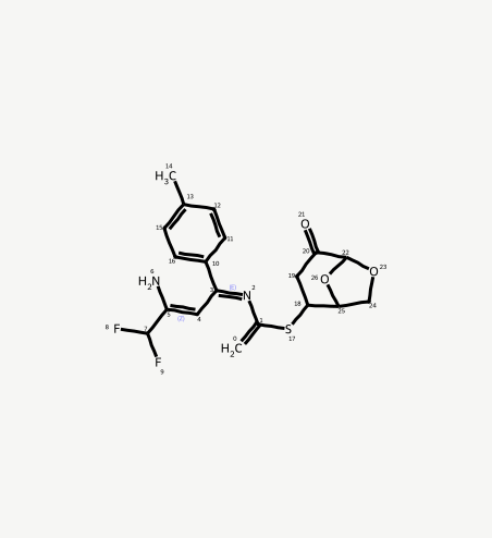 C=C(/N=C(\C=C(/N)C(F)F)c1ccc(C)cc1)SC1CC(=O)C2OCC1O2